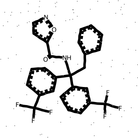 O=C(NC(Cc1ccccc1)(c1cccc(C(F)(F)F)c1)c1cccc(C(F)(F)F)c1)c1ccno1